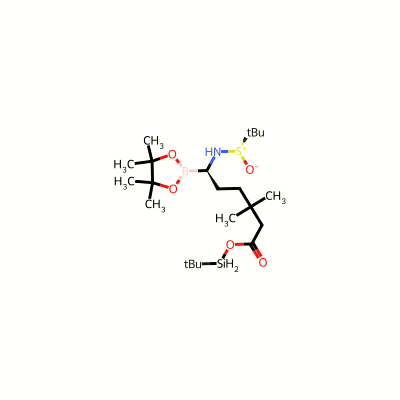 CC(C)(CC[C@H](N[S@+]([O-])C(C)(C)C)B1OC(C)(C)C(C)(C)O1)CC(=O)O[SiH2]C(C)(C)C